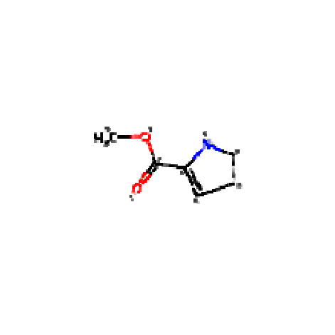 COC(=O)C1=CCC[N]1